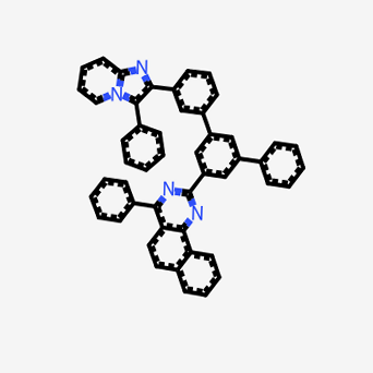 c1ccc(-c2cc(-c3cccc(-c4nc5ccccn5c4-c4ccccc4)c3)cc(-c3nc(-c4ccccc4)c4ccc5ccccc5c4n3)c2)cc1